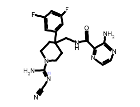 N#C/N=C(\N)N1CCC(CNC(=O)c2nccnc2N)(c2cc(F)cc(F)c2)CC1